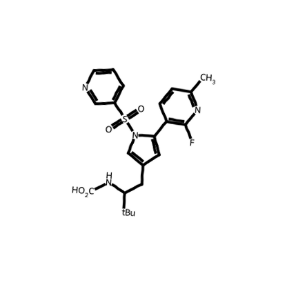 Cc1ccc(-c2cc(CC(NC(=O)O)C(C)(C)C)cn2S(=O)(=O)c2cccnc2)c(F)n1